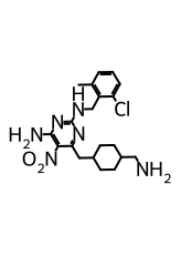 Cc1cccc(Cl)c1CNc1nc(N)c([N+](=O)[O-])c(CC2CCC(CN)CC2)n1